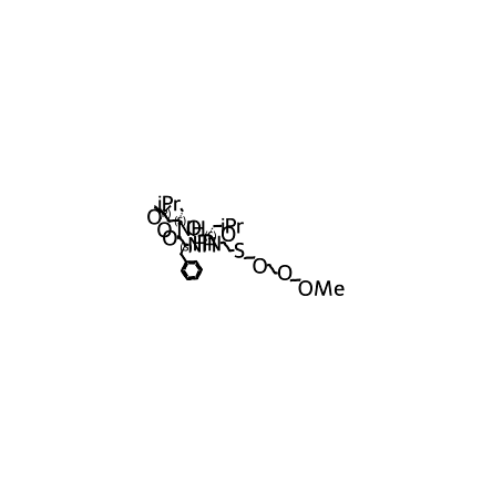 COCCOCCOCCSCC(=O)N[C@@H](CC(C)C)C(=O)N[C@@H](Cc1ccccc1)C(=O)N[C@@H](CC(C)C)C(=O)[C@@]1(C)CO1